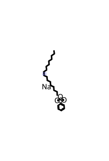 CCCCCCCC/C=C\CCCCCCCCOS(=O)(=O)c1ccccc1.[Na]